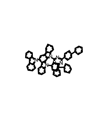 c1ccc(-c2ccc(-c3nc(-c4ccccc4)nc(-n4c5ccccc5c5cc(-n6c7ccccc7c7ccccc76)c6c7ccccc7n(-c7ccc(-c8ccccc8)cc7)c6c54)n3)cc2)cc1